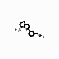 NCc1cccc(-c2ccc3ncnc(N)c3n2)c1